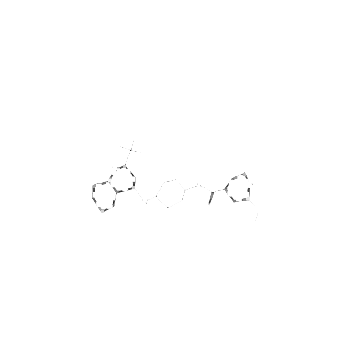 COc1cc(C(=O)NC2CCC(Nc3cc(C(F)(F)F)nc4ccccc34)CC2)ccn1